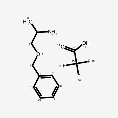 CC(N)COCc1ccccc1.O=C(O)C(F)(F)F